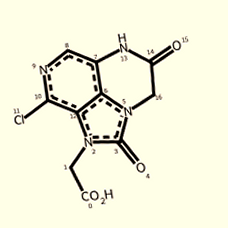 O=C(O)Cn1c(=O)n2c3c(cnc(Cl)c31)NC(=O)C2